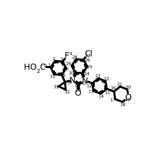 O=C(O)c1cc(F)cc(C2(n3c(=O)n(-c4ccc(C5CCOCC5)cc4)c4cc(Cl)ccc43)CC2)c1